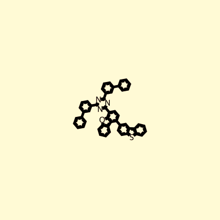 c1ccc(-c2cccc(-c3nc(-c4cccc(-c5ccccc5)c4)nc(-c4ccc(-c5ccc6sc7ccccc7c6c5)c5c4oc4ccccc45)n3)c2)cc1